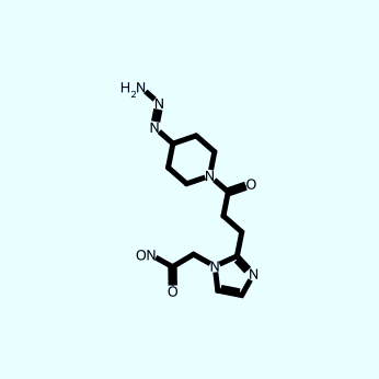 NN=NC1CCN(C(=O)CCc2nccn2CC(=O)N=O)CC1